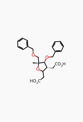 C[C@]1(COCc2ccccc2)OC(CC(=O)O)[C@@H](CC(=O)O)[C@@H]1OCc1ccccc1